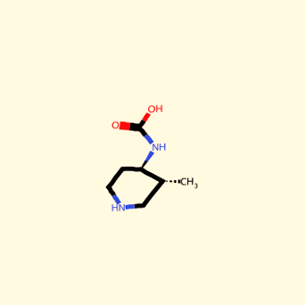 C[C@@H]1CNCC[C@H]1NC(=O)O